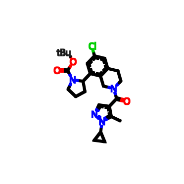 Cc1c(C(=O)N2CCc3cc(Cl)cc(C4CCCN4C(=O)OC(C)(C)C)c3C2)cnn1C1CC1